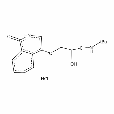 CC(C)(C)NCC(O)COc1c[nH]c(=O)c2ccccc12.Cl